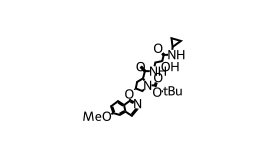 COc1ccc2c(O[C@@H]3CC(C(=O)NCC(O)C(=O)NC4CC4)N(C(=O)OC(C)(C)C)C3)nccc2c1